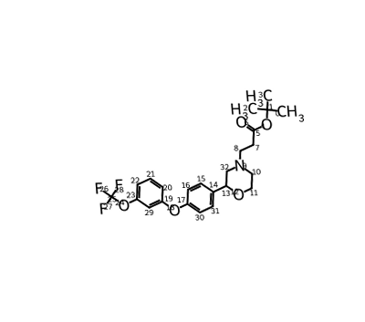 CC(C)(C)OC(=O)CCN1CCOC(c2ccc(Oc3cccc(OC(F)(F)F)c3)cc2)C1